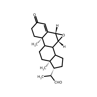 CC(C=O)[C@H]1CCC2C3C(CC[C@@]21C)[C@@]1(C)CCC(=O)C=C1[C@@H]1O[C@H]31